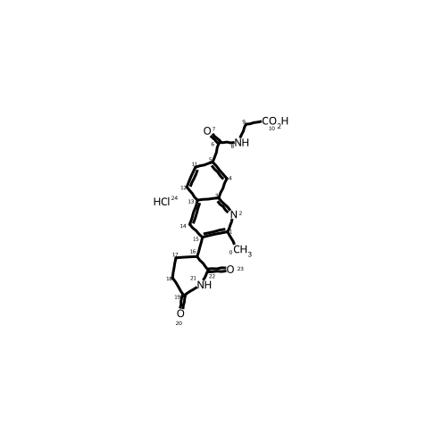 Cc1nc2cc(C(=O)NCC(=O)O)ccc2cc1C1CCC(=O)NC1=O.Cl